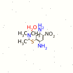 CC(Sc1cc(N)c([N+](=O)[O-])cc1N)N(C)C.O